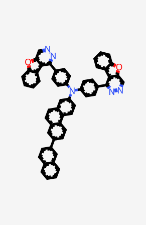 c1ccc2cc(-c3ccc4c(ccc5cc(N(c6ccc(-c7nncc8oc9ccccc9c78)cc6)c6ccc(-c7nncc8oc9ccccc9c78)cc6)ccc54)c3)ccc2c1